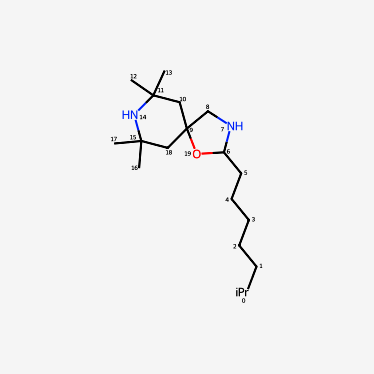 CC(C)CCCCCC1NCC2(CC(C)(C)NC(C)(C)C2)O1